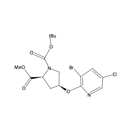 COC(=O)[C@@H]1C[C@H](Oc2ncc(Cl)cc2Br)CN1C(=O)OC(C)(C)C